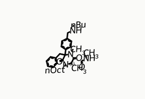 CCCCCCCCN1C(=O)C(Cc2ccccc2)(c2ccc(CNCCCC)cc2)N(C)C(=O)[C@@H]1C.CNC=O